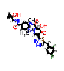 CN1C(=O)c2c(O)c(=O)c(C(=N)SC(=N)Cc3ccc(F)cc3F)cn2N(C)C12CCC(C(=O)NCC1(O)CC1)CC2